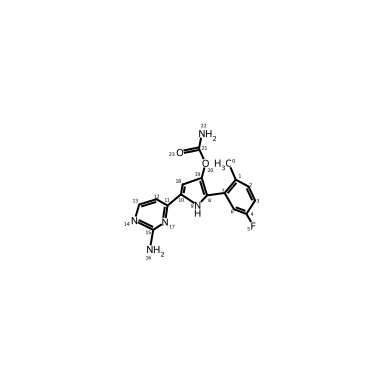 Cc1ccc(F)cc1-c1[nH]c(-c2ccnc(N)n2)cc1OC(N)=O